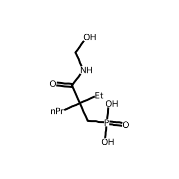 CCCC(CC)(CP(=O)(O)O)C(=O)NCO